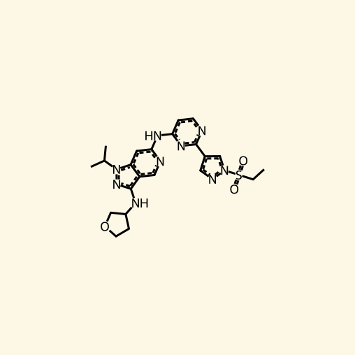 CCS(=O)(=O)n1cc(-c2nccc(Nc3cc4c(cn3)c(NC3CCOC3)nn4C(C)C)n2)cn1